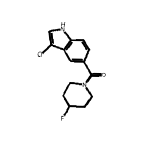 O=C(c1ccc2[nH]cc(Cl)c2c1)N1CCC(F)CC1